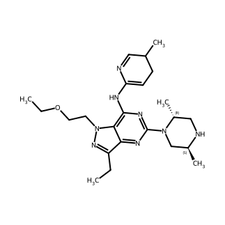 CCOCCn1nc(CC)c2nc(N3C[C@H](C)NC[C@H]3C)nc(NC3=CCC(C)C=N3)c21